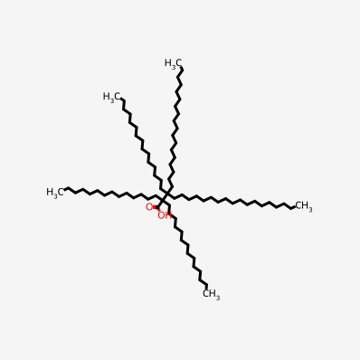 CCCCCCCCCCCCCCCCCCC(CCCCCCCCCCCCCCC)(CCCCCCCCCCCCCCCCCC)C(CCCCCCCCCCCCCC)(CCCCCCCCCCCCCC)C(=O)O